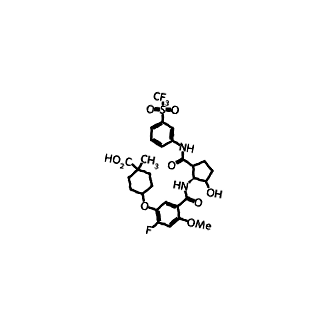 COc1cc(F)c(OC2CCC(C)(C(=O)O)CC2)cc1C(=O)N[C@@H]1C(O)CCC1C(=O)Nc1cccc(S(=O)(=O)C(F)(F)F)c1